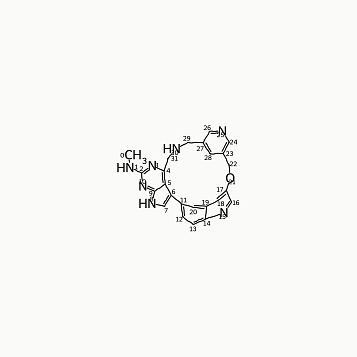 CNc1nc2c3c(c[nH]c3n1)-c1ccc3ncc(cc3c1)OCc1cncc(c1)CNC2